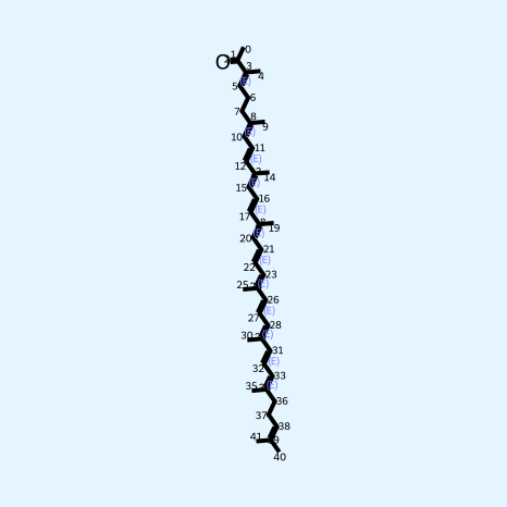 CC(=O)/C(C)=C/CC/C(C)=C/C=C/C(C)=C/C=C/C(C)=C/C=C/C=C(C)/C=C/C=C(C)/C=C/C=C(\C)CCC=C(C)C